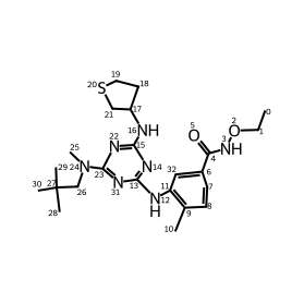 CCONC(=O)c1ccc(C)c(Nc2nc(NC3CCSC3)nc(N(C)CC(C)(C)C)n2)c1